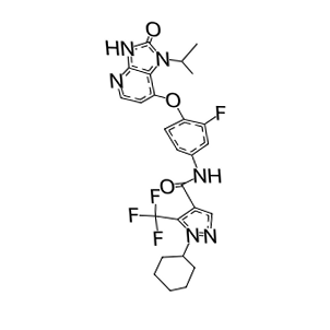 CC(C)n1c(=O)[nH]c2nccc(Oc3ccc(NC(=O)c4cnn(C5CCCCC5)c4C(F)(F)F)cc3F)c21